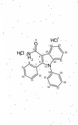 Cl.Cl.NC(=O)c1c(-c2ccccc2)n(-c2ccccc2)c2ccccc12